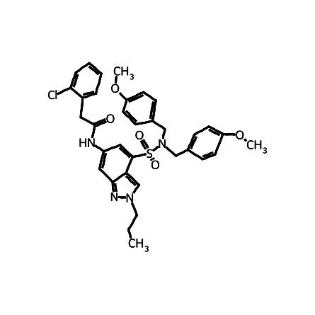 CCCn1cc2c(S(=O)(=O)N(Cc3ccc(OC)cc3)Cc3ccc(OC)cc3)cc(NC(=O)Cc3ccccc3Cl)cc2n1